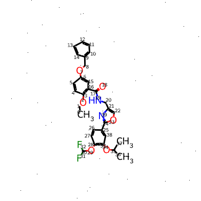 CCOc1ccc(OCc2ccccc2)cc1C(=O)NCc1coc(-c2ccc(OC(F)F)c(OC(C)C)c2)n1